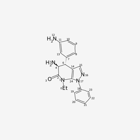 CCN1C(=O)[C@@H](N)[C@H](c2cccc(N)c2)c2cnn(-c3ccccc3)c21